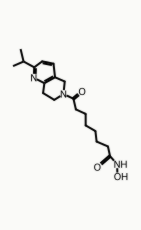 CC(C)c1ccc2c(n1)CCN(C(=O)CCCCCCC(=O)NO)C2